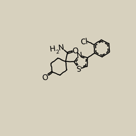 NC(=O)C1(c2nc(-c3ccccc3Cl)cs2)CCC(=O)CC1